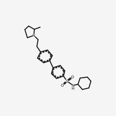 CC1CCCN1CCc1ccc(-c2ccc(S(=O)(=O)NC3CCCCC3)cc2)cc1